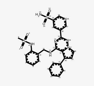 CS(=O)(=O)Nc1ccccc1CNc1nc(-c2cncc(S(N)(=O)=O)c2)nn2ccc(-c3ccccc3)c12